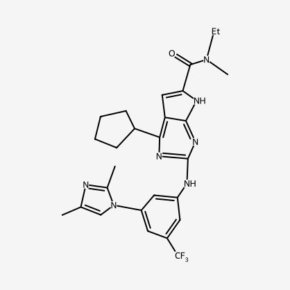 CCN(C)C(=O)c1cc2c(C3CCCC3)nc(Nc3cc(-n4cc(C)nc4C)cc(C(F)(F)F)c3)nc2[nH]1